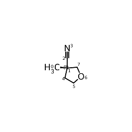 C[C@]1(C#N)CCOC1